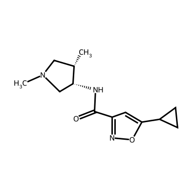 C[C@H]1CN(C)C[C@H]1NC(=O)c1cc(C2CC2)on1